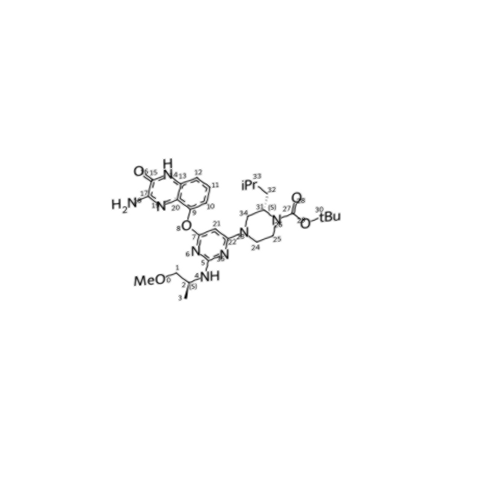 COC[C@H](C)Nc1nc(Oc2cccc3[nH]c(=O)c(N)nc23)cc(N2CCN(C(=O)OC(C)(C)C)[C@@H](CC(C)C)C2)n1